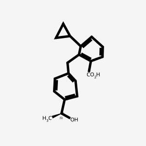 C[C@H](O)c1ccc(Cc2c(C(=O)O)cccc2C2CC2)cc1